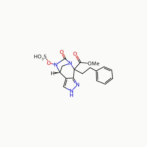 COC(=O)C1(CCc2ccccc2)c2n[nH]cc2[C@H]2CN1C(=O)N2OS(=O)(=O)O